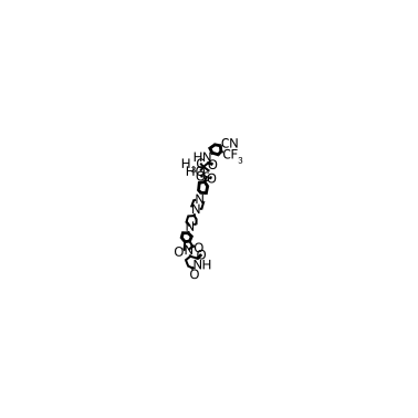 CC(O)(CS(=O)(=O)c1ccc(N2CCN(C3CCN(c4ccc5c(c4)C(=O)N(C4CCC(=O)NC4=O)C5=O)CC3)CC2)cc1)C(=O)Nc1ccc(C#N)c(C(F)(F)F)c1